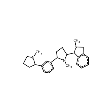 CN1CCCC1c1cccc(C2CCC(C3c4ccccc4CN3C)N2C)c1